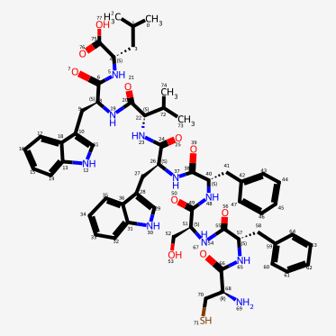 CC(C)C[C@H](NC(=O)[C@H](Cc1c[nH]c2ccccc12)NC(=O)[C@@H](NC(=O)[C@H](Cc1c[nH]c2ccccc12)NC(=O)[C@H](Cc1ccccc1)NC(=O)[C@H](CO)NC(=O)[C@H](Cc1ccccc1)NC(=O)[C@@H](N)CS)C(C)C)C(=O)O